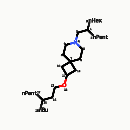 CCCCCCC(CCCCC)CN1CCC2(CC1)CC(OCCC(CCCC)CCCCC)C2